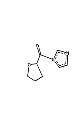 O=C(C1CCCO1)n1[c]ncc1